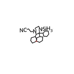 N#CCCN1CCN([SiH3])C(C2CCCCC2)(C2CCCCC2)C1C1CCCCC1